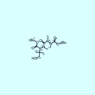 CCCCOC(=O)[C@@H](N(C)C(=O)[C@@H](C)N(C)C(=O)OC(C)(C)C)C(C)(C)CO